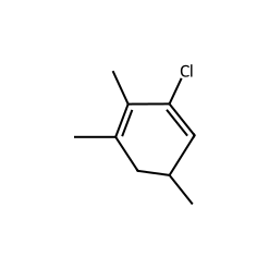 CC1=C(C)C(Cl)=CC(C)C1